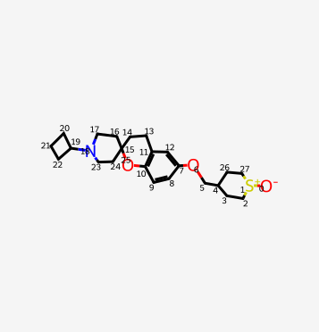 [O-][S+]1CCC(COc2ccc3c(c2)CCC2(CCN(C4CCC4)CC2)O3)CC1